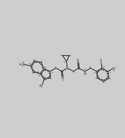 CC(=O)c1cn(CC(=O)N(CC(=O)NCc2cccc(Cl)c2F)C2CC2)c2ccc(N)cc12